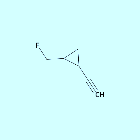 C#CC1CC1CF